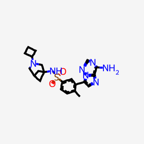 Cc1ccc(S(=O)(=O)NC23CC(CN(C4CCC4)C2)C3)cc1-c1cnc2c(N)ncnn12